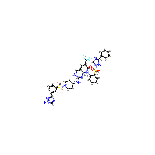 O=c1c(C(F)F)cc2cnc(NC3CCN(S(=O)(=O)c4cccc(-c5nc[nH]n5)c4)CC3)nc2n1-c1ccccc1S(=O)(=O)n1cnc(-c2ccccc2)n1